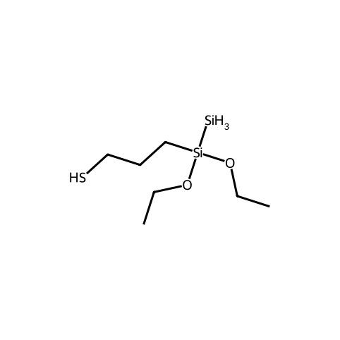 CCO[Si]([SiH3])(CCCS)OCC